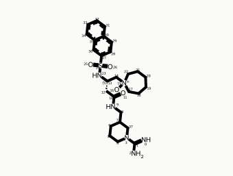 N=C(N)N1CCCC(CNC(=O)C[C@@H](C[N+]2([O-])CCCCCC2)NS(=O)(=O)c2ccc3ccccc3c2)C1